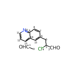 CC=O.O=CC(Cl)Cc1ccc2ncccc2c1